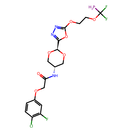 O=C(COc1ccc(Cl)c(F)c1)N[C@H]1CO[C@H](c2nnc(OCCOC(F)(F)P)o2)OC1